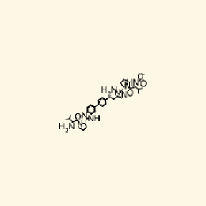 COC(=O)N[C@H](C(=O)N1CCC[C@H]1c1ncc(CCc2ccc(-c3ccc4nc([C@@H]5CCCN5C(=O)[C@@H](N)C(C)C)[nH]c4c3)cc2)n1N)C(C)C